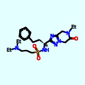 CCN(CC)CCCS(=O)(=O)N[C@H](CCc1ccccc1)c1nc2n(n1)CC(=O)N(CC)C2